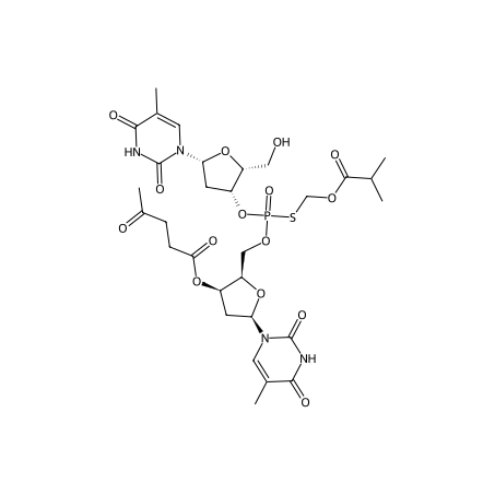 CC(=O)CCC(=O)O[C@@H]1C[C@H](n2cc(C)c(=O)[nH]c2=O)O[C@@H]1COP(=O)(O[C@@H]1C[C@H](n2cc(C)c(=O)[nH]c2=O)O[C@@H]1CO)SCOC(=O)C(C)C